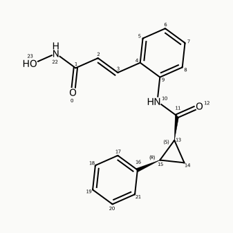 O=C(C=Cc1ccccc1NC(=O)[C@H]1C[C@H]1c1ccccc1)NO